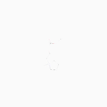 CCCOC(=O)OCC[N+]1(C)CCCC1